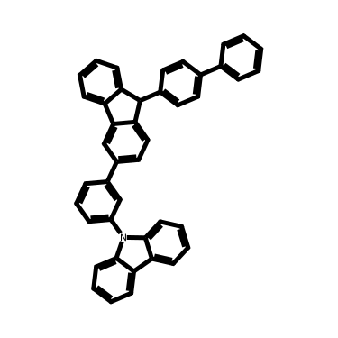 c1ccc(-c2ccc(C3c4ccccc4-c4cc(-c5cccc(-n6c7ccccc7c7ccccc76)c5)ccc43)cc2)cc1